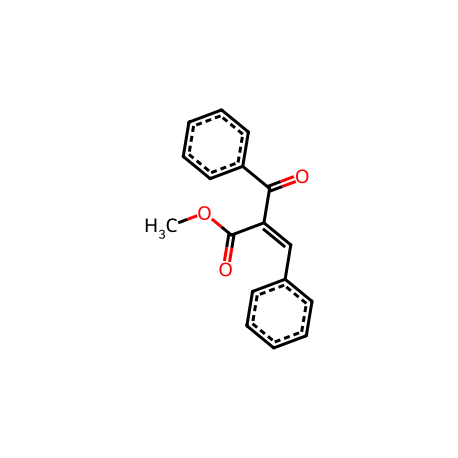 COC(=O)/C(=C\c1ccccc1)C(=O)c1ccccc1